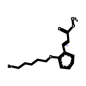 COC(=O)/C=C/c1ccccc1OCCCCCBr